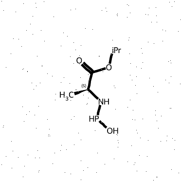 CC(C)OC(=O)[C@H](C)NPO